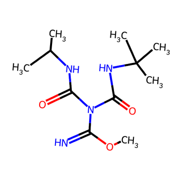 COC(=N)N(C(=O)NC(C)C)C(=O)NC(C)(C)C